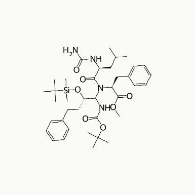 COC(=O)[C@H](Cc1ccccc1)N(C(=O)[C@H](CC(C)C)NC(N)=O)C(NC(=O)OC(C)(C)C)[C@H](CCc1ccccc1)O[Si](C)(C)C(C)(C)C